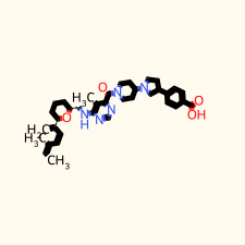 C=C(/C=C\C(C)=C/C)[C@@H]1CCC[C@H](CNc2ncnc(C(=O)N3CCC(N4CCC(c5ccc(C(=O)O)cc5)C4)CC3)c2C)O1